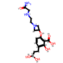 NC(=O)CNCCN1CC(Oc2ccc(CCB(O)O)c(O)c2C(=O)O)C1